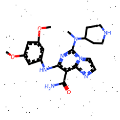 COc1cc(Nc2nc(N(C)C3CCNCC3)n3ccnc3c2C(N)=O)cc(OC)c1